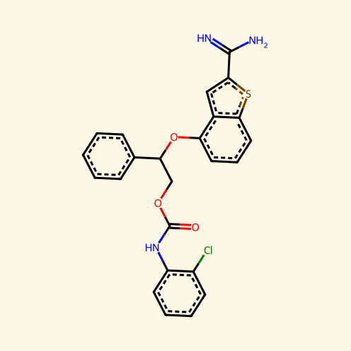 N=C(N)c1cc2c(OC(COC(=O)Nc3ccccc3Cl)c3ccccc3)cccc2s1